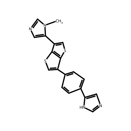 Cn1cncc1-c1csc2c(-c3ccc(-c4cnc[nH]4)cc3)csc12